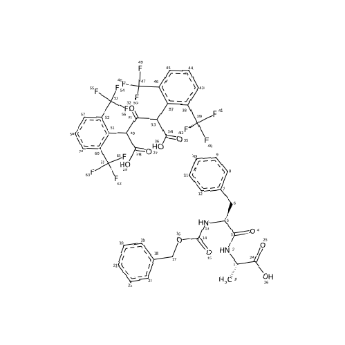 C[C@H](NC(=O)[C@H](Cc1ccccc1)NC(=O)OCc1ccccc1)C(=O)O.O=C(O)C(C(=O)C(C(=O)O)c1c(C(F)(F)F)cccc1C(F)(F)F)c1c(C(F)(F)F)cccc1C(F)(F)F